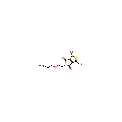 COCCOCCN1C(=O)c2c(C)sc(C(C)(C)C)c2C1=O